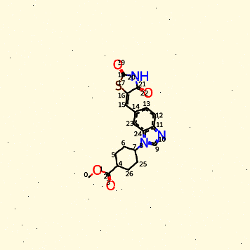 COC(=O)C1CCC(n2cnc3ccc(C=C4SC(=O)NC4=O)cc32)CC1